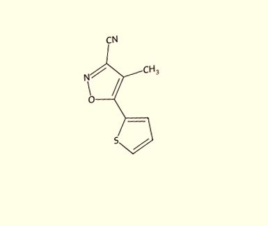 Cc1c(C#N)noc1-c1cccs1